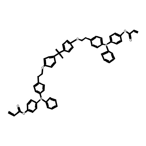 C=CC(=O)Oc1ccc(N(c2ccccc2)c2ccc(CCOc3ccc(C(C)(C)c4ccc(OCCc5ccc(N(c6ccccc6)c6ccc(OC(=O)C=C)cc6)cc5)cc4)cc3)cc2)cc1